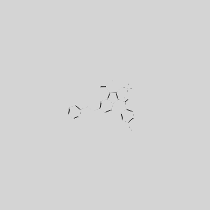 CCOC(=O)C(C)(C)Cc1c(C(=O)C(C)(C)C)c2cc(OCc3ccccn3)ccn2c1C(=O)c1ccc(Br)cc1